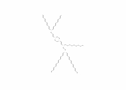 CCCCCCCCCCCCN(CCCCCCCCCCCC)CCN(CCCCCCCCCC)CCN1CCN(CCCN(CCCCCCCCC)CCCCCCCCC)CC1